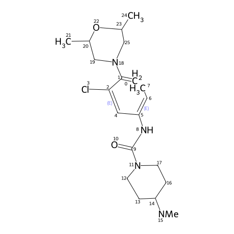 C=C(/C(Cl)=C\C(=C/C)NC(=O)N1CCC(NC)CC1)N1CC(C)OC(C)C1